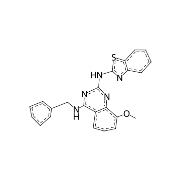 COc1cccc2c(NCc3ccccc3)nc(Nc3nc4ccccc4s3)nc12